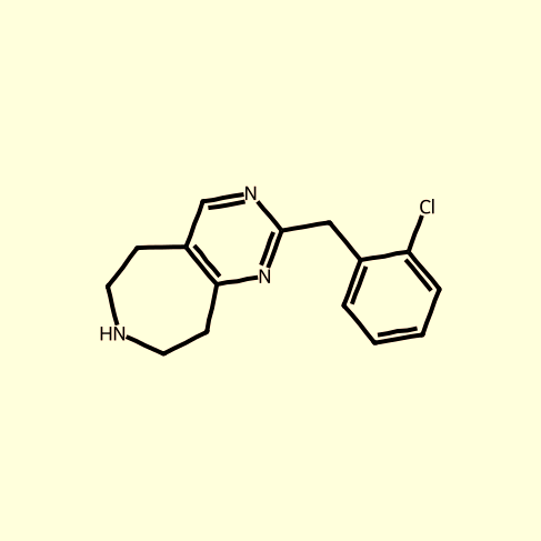 Clc1ccccc1Cc1ncc2c(n1)CCNCC2